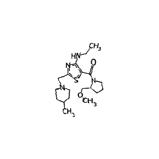 CCNc1nc(CN2CCC(C)CC2)sc1C(=O)N1CCCC1COC